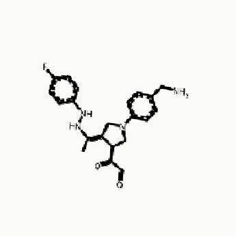 CC(NNc1ccc(F)cc1)=C1CN(c2ccc(CN)cc2)CC1C(=O)C=O